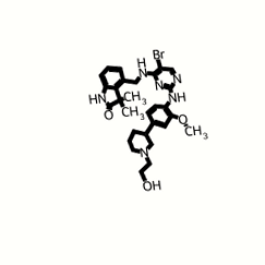 COc1cc(C2CCCN(CCO)C2)ccc1Nc1ncc(Br)c(NCc2cccc3c2C(C)(C)C(=O)N3)n1